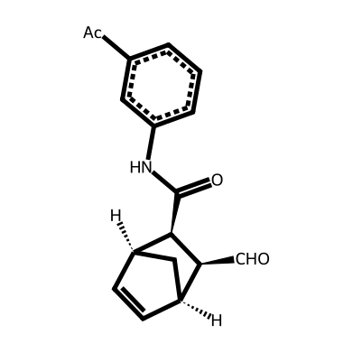 CC(=O)c1cccc(NC(=O)[C@H]2[C@@H](C=O)[C@H]3C=C[C@@H]2C3)c1